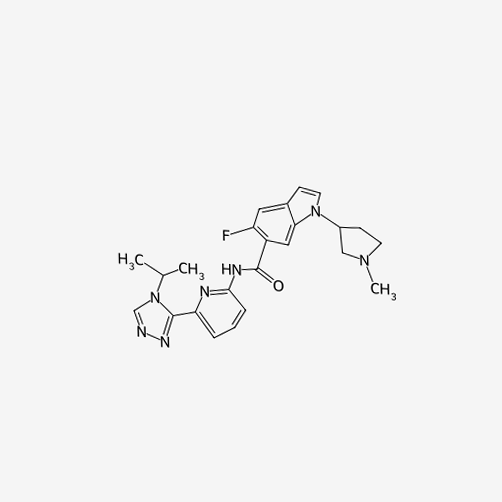 CC(C)n1cnnc1-c1cccc(NC(=O)c2cc3c(ccn3C3CCN(C)C3)cc2F)n1